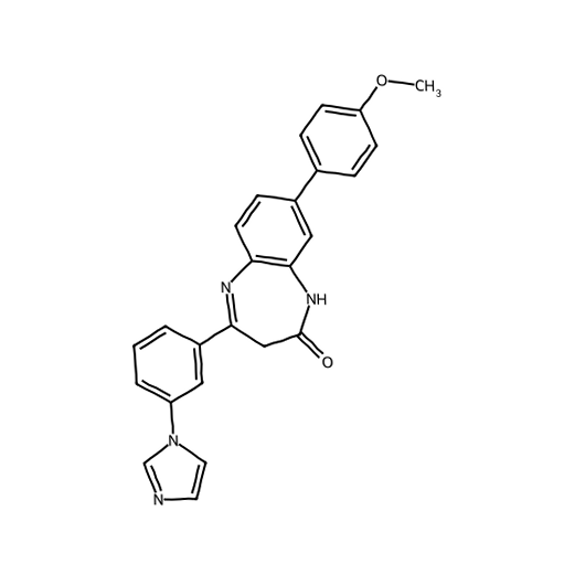 COc1ccc(-c2ccc3c(c2)NC(=O)CC(c2cccc(-n4ccnc4)c2)=N3)cc1